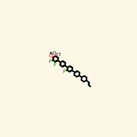 C/C=C/C1CCC(C2CC=C(c3ccc(-c4ccc(-c5ccc(OCCCCCCCC)c(F)c5F)cc4)c(F)c3)CC2)CC1